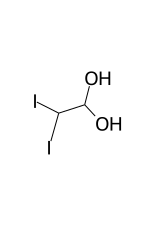 OC(O)C(I)I